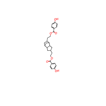 O=C(OCCC1CC2C3CC(CCOC(=O)c4ccc(O)cc4)C(C3)C2C1)c1ccc(O)cc1